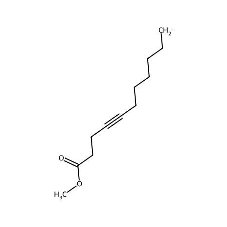 [CH2]CCCCCC#CCCC(=O)OC